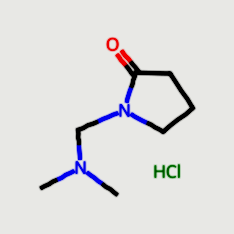 CN(C)CN1CCCC1=O.Cl